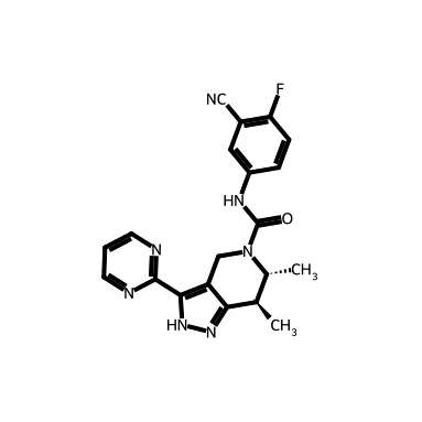 C[C@@H]1[C@@H](C)c2n[nH]c(-c3ncccn3)c2CN1C(=O)Nc1ccc(F)c(C#N)c1